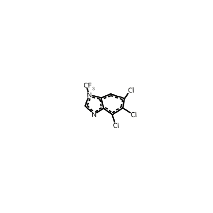 FC(F)(F)n1cnc2c(Cl)c(Cl)c(Cl)cc21